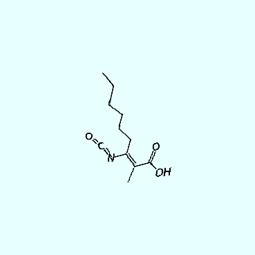 CCCCCC/C(N=C=O)=C(/C)C(=O)O